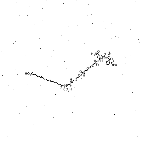 C[C@H](NC(=O)[C@H](CCC(N)=O)NC(=O)CNC(=O)COCCOCCNC(=O)COCCOCCNC(=O)CC[C@@H](NC(=O)CCCCCCCCCCCCCCCCC(=O)O)C(=O)O)C(=O)N1CCC[C@H]1C(=O)C(C)(C)C